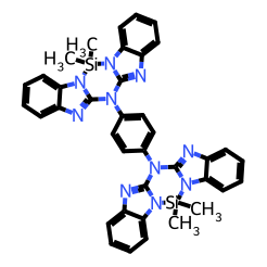 C[Si]1(C)n2c(nc3ccccc32)N(c2ccc(N3c4nc5ccccc5n4[Si](C)(C)n4c3nc3ccccc34)cc2)c2nc3ccccc3n21